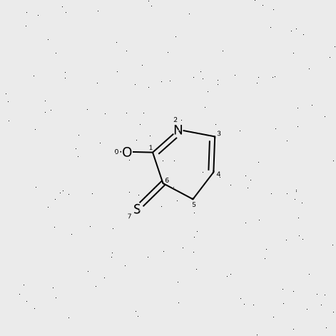 [O]C1=NC=CCC1=S